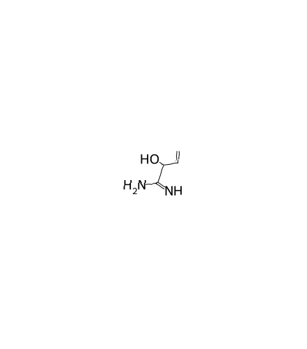 C=CC(O)C(=N)N